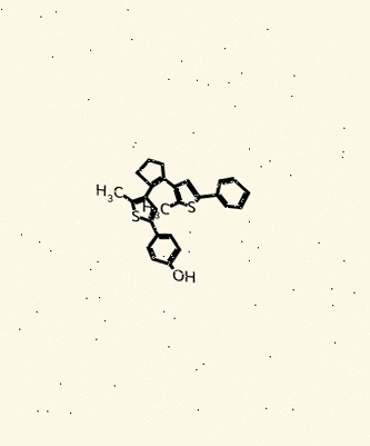 Cc1sc(-c2ccccc2)cc1C1=C(c2cc(-c3ccc(O)cc3)sc2C)CCC1